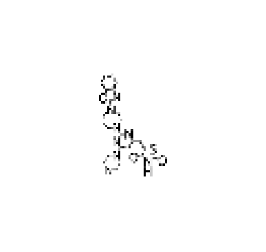 CN1CCN(c2cc(C=C3SC(=O)NC3=O)nc(N3CCCN(c4nc5ccccc5o4)CC3)n2)CC1